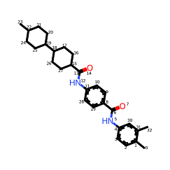 Cc1ccc(NC(=O)c2ccc(NC(=O)C3CCC(C4CCC(C)CC4)CC3)cc2)cc1C